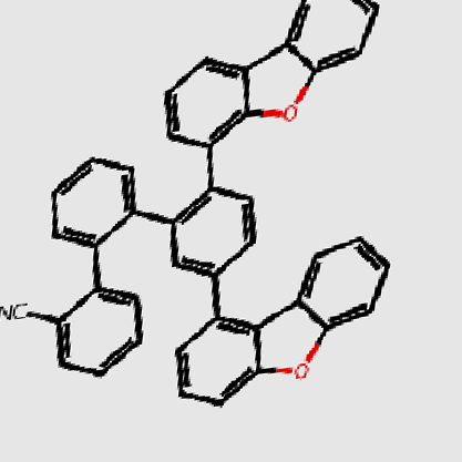 N#Cc1ccccc1-c1ccccc1-c1cc(-c2cccc3oc4ccccc4c23)ccc1-c1cccc2c1oc1ccccc12